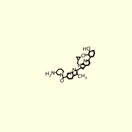 Cc1c(-c2cc3ccc(-c4cccc(O)c4Cl)nc3n2CC2CC2)nn2cc(C(=O)N3CCC[C@@H](N)C3)ccc12